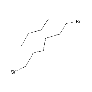 BrCCCCCCBr.CCCC